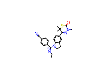 CC/N=C(/c1ccc(C#N)cc1)N1CCc2cc(C3=NN(C)C(=O)SC3(C)C)ccc21